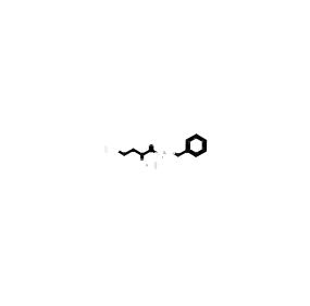 CC(C)[CH]CC(O)C(=O)NOCc1ccccc1